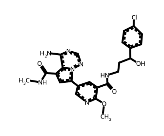 CNC(=O)c1cc(-c2cnc(OC)c(C(=O)NCCC(O)c3ccc(Cl)cc3)c2)n2ncnc(N)c12